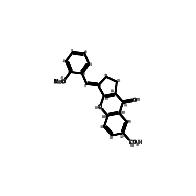 COc1ccccc1/C=C1\CCc2c1oc1ccc(C(=O)O)cc1c2=O